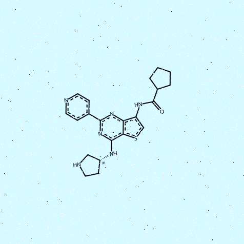 O=C(Nc1csc2c(N[C@@H]3CCNC3)nc(-c3ccncc3)nc12)C1CCCC1